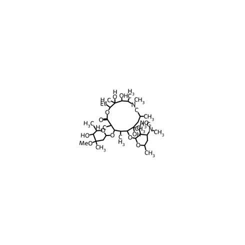 CCC1OC(=O)C(C)C(OC2CC(C)(OC)C(O)C(C)O2)C(C)C(OC2OC(C)CC(N(C)C)C2O[N+](=O)[O-])C(C)(O)CC(C)CN(C)C(C)C(O)C1(C)O